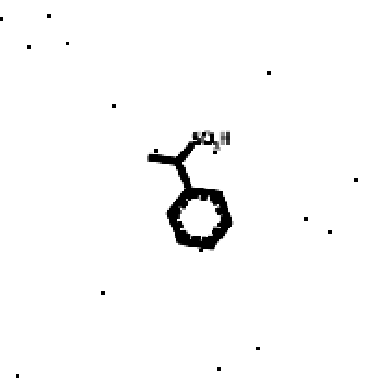 CC(c1ccccc1)S(=O)(=O)O